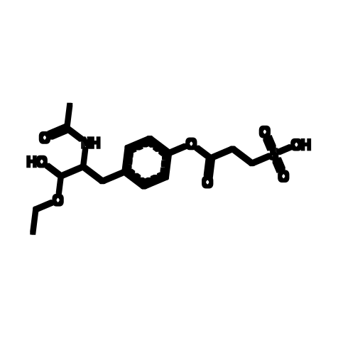 CCOC(O)C(Cc1ccc(OC(=O)CCS(=O)(=O)O)cc1)NC(C)=O